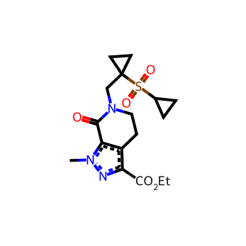 CCOC(=O)c1nn(C)c2c1CCN(CC1(S(=O)(=O)C3CC3)CC1)C2=O